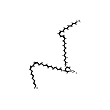 CCCCCCCC/C=C\C/C=C\CCCCCCCCCCO[C@@H]1CN(C)C[C@H]1OCCCCCCCCCC/C=C\C/C=C\CCCCCCCC